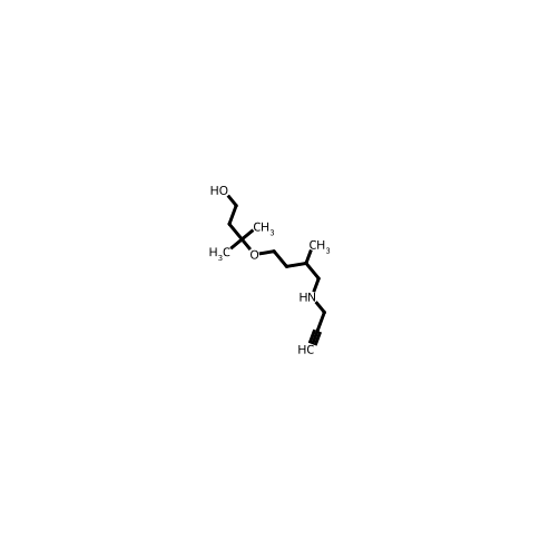 C#CCNCC(C)CCOC(C)(C)CCO